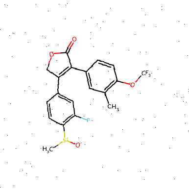 Cc1cc(C2=C(c3ccc([S+](C)[O-])c(F)c3)COC2=O)ccc1OC(F)(F)F